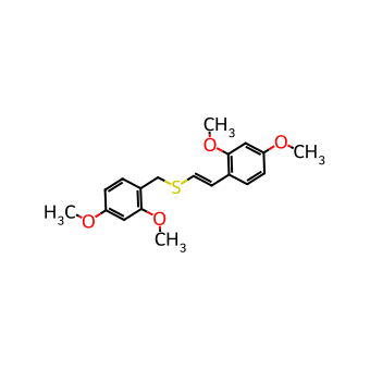 COc1ccc(C=CSCc2ccc(OC)cc2OC)c(OC)c1